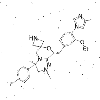 CCOc1cc(/C=C2\OC3(CNC3)CN3C2=NN(C)CC3(C)c2ccc(F)cc2)ccc1-n1cnc(C)c1